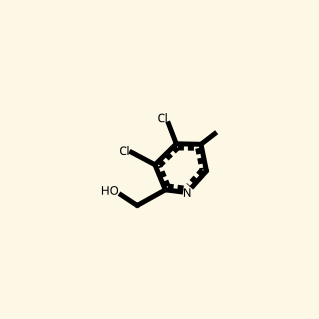 Cc1cnc(CO)c(Cl)c1Cl